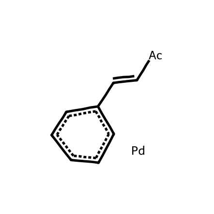 CC(=O)/C=C/c1ccccc1.[Pd]